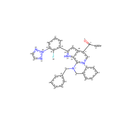 CNC(=O)c1cnc(N(Cc2ccccc2)Cc2ccccc2)c2[nH]c(-c3cccc(-n4nccn4)c3F)cc12